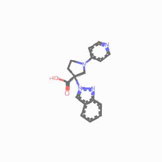 O=C(O)C1(n2cc3ccccc3n2)CCN(c2ccncc2)C1